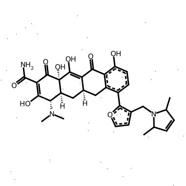 CC1C=CC(C)N1Cc1ccoc1-c1ccc(O)c2c1C[C@H]1C[C@H]3[C@H](N(C)C)C(O)=C(C(N)=O)C(=O)[C@@]3(O)C(O)=C1C2=O